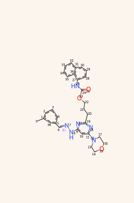 Cc1cccc(/C=N/Nc2cc(N3CCOCC3)nc(CCCOC(=O)Nc3cccc4ccccc34)n2)c1